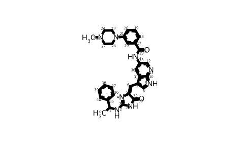 CC(NC1=NC(=Cc2c[nH]c3ncc(NC(=O)c4cccc(N5CCN(C)CC5)c4)cc23)C(=O)N1)c1ccccc1